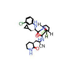 N#C[C@@H](C[C@@H]1CCCNC1=O)NC(=O)[C@H]1[C@H]2CC[C@H](CC2(F)F)N1C(=O)[C@H](CC1CC1)Nc1cccc(Cl)c1